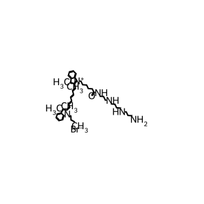 CCCCN1/C(=C/C=C/C=C/C=C/C2=[N+](CCCCCC(=O)NCCCNCCCCNCCCN)c3ccccc3C2(C)C)C(C)(C)c2ccccc21.[Br-]